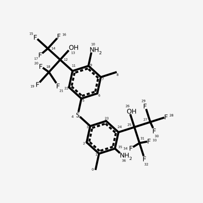 Cc1cc(Sc2cc(C)c(N)c(C(O)(C(F)(F)F)C(F)(F)F)c2)cc(C(O)(C(F)(F)F)C(F)(F)F)c1N